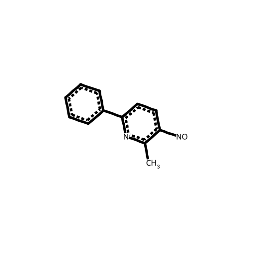 Cc1nc(-c2ccccc2)ccc1N=O